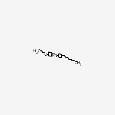 CCCCCCCCc1ccc(NCc2ccc(OCCCC)cc2)cc1